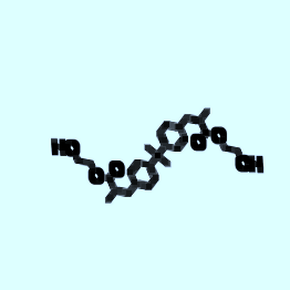 CC(=Cc1ccc(C(C)(C)c2ccc(C=C(C)C(=O)OCCO)cc2)cc1)C(=O)OCCO